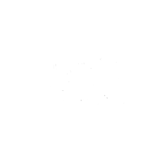 CC(=O)C(C(C)=O)C(=O)C1=C([N+](=O)[O-])CCC=C1